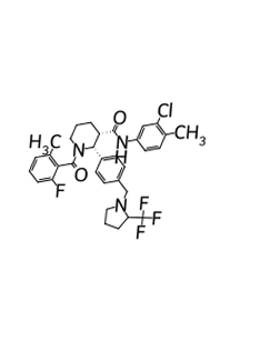 Cc1ccc(NC(=O)[C@H]2CCCN(C(=O)c3c(C)cccc3F)[C@H]2c2ccc(CN3CCCC3C(F)(F)F)cc2)cc1Cl